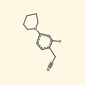 N#CCc1ccc(N2CCCCC2)cc1F